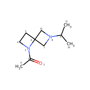 CC(=O)N1CCC12CN(C(C)C)C2